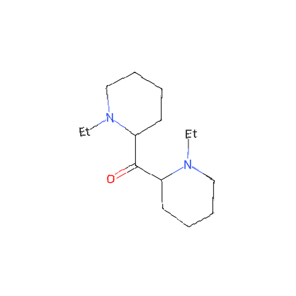 CCN1CCCCC1C(=O)C1CCCCN1CC